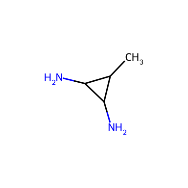 CC1C(N)C1N